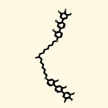 CC(CCCCCCCOc1ccc(-c2ccc(-c3cc(F)c(F)c(F)c3)c(F)c2)c(F)c1)CCCCCCCOc1ccc(-c2ccc(-c3cc(F)c(F)c(F)c3)c(F)c2)c(F)c1